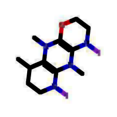 CC1CCN(I)C2=C1N(C)C1=C(N(I)CCO1)N2C